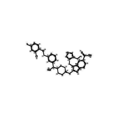 CCn1cncc1Cn1c(CN2CCC(C(O)c3cccc(COc4ccc(C)cc4Cl)c3)CC2)nc2ccc(C(=O)O)cc21